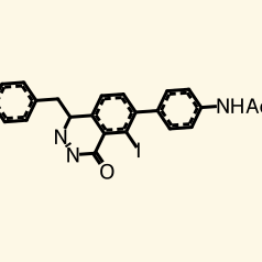 CC(=O)Nc1ccc(-c2ccc3c(c2I)C(=O)N=NC3Cc2ccccc2)cc1